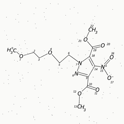 COCCOCCn1nc(C(=O)OC)c([N+](=O)[O-])c1C(=O)OC